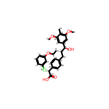 COc1cc([C@@H](O)[C@@H](CCOc2cccc(Cl)c2)Cc2ccc(CC(=O)O)cc2)cc(OC)c1C